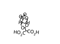 O=C(O)C(C(=O)O)C1OC[C@@H]2OS(=O)(=O)OC[C@H]2O1